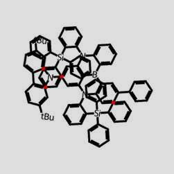 CC(C)(C)c1ccc2c3ccc(C(C)(C)C)cc3n(-c3cc4c5c(c3)N(c3ccccc3[Si](c3ccccc3)(c3ccccc3)c3ccccc3)c3ccc(-c6ccccc6)cc3B5c3ccccc3N4c3ccccc3[Si](c3ccccc3)(c3ccccc3)c3ccccc3)c2c1